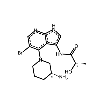 C[C@H](O)C(=O)Nc1c[nH]c2ncc(Br)c(N3CCC[C@@H](N)C3)c12